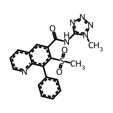 Cn1nnnc1NC(=O)c1cc2cccnc2c(-c2ccccc2)c1S(C)(=O)=O